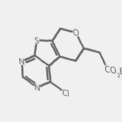 CCOC(=O)CC1Cc2c(sc3ncnc(Cl)c23)CO1